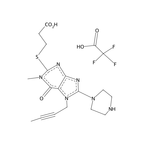 CC#CCn1c(N2CCNCC2)nc2nc(SCCC(=O)O)n(C)c(=O)c21.O=C(O)C(F)(F)F